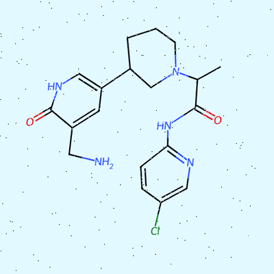 CC(C(=O)Nc1ccc(Cl)cn1)N1CCCC(c2c[nH]c(=O)c(CN)c2)C1